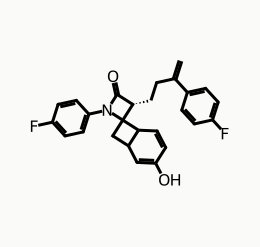 C=C(CC[C@H]1C(=O)N(c2ccc(F)cc2)C12CC1C=C(O)C=CC12)c1ccc(F)cc1